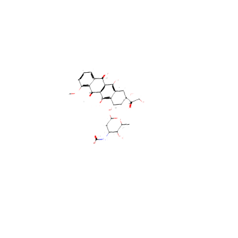 COc1cccc2c1C(=O)c1c(O)c3c(c(O)c1C2=O)C[C@@](O)(C(=O)CO)C[C@@H]3OC1CC(NC(=O)O)C(O)C(C)O1